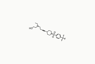 CCN(CCO)CCC#CC1CCN(S(=O)(=O)c2ccc(C(F)(F)F)cc2)CC1